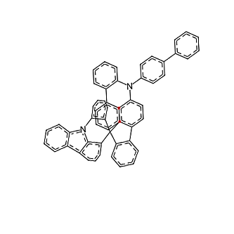 c1ccc(-c2ccc(N(c3ccc4c(c3)C3(c5ccccc5-4)c4ccccc4-n4c5ccccc5c5cccc3c54)c3ccccc3-c3ccccc3)cc2)cc1